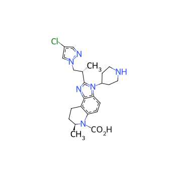 C[C@@H](Cn1cc(Cl)cn1)c1nc2c3c(ccc2n1C1CCNCC1)N(C(=O)O)[C@@H](C)CC3